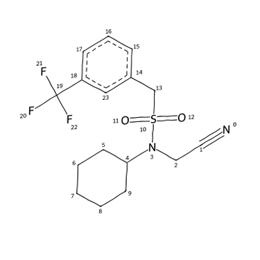 N#CCN(C1CCCCC1)S(=O)(=O)Cc1cccc(C(F)(F)F)c1